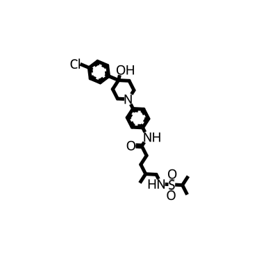 CC(CCC(=O)Nc1ccc(N2CCC(O)(c3ccc(Cl)cc3)CC2)cc1)CNS(=O)(=O)C(C)C